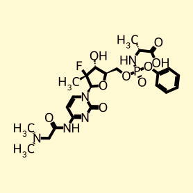 C[C@@H](NP(=O)(OC[C@H]1O[C@@H](n2ccc(NC(=O)CN(C)C)nc2=O)[C@](C)(F)[C@@H]1O)Oc1ccccc1)C(=O)O